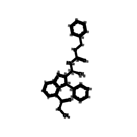 COC(=O)c1cccc2nc([C@H](C)NC(=O)OCc3ccccc3)c(-c3cccnc3)n12